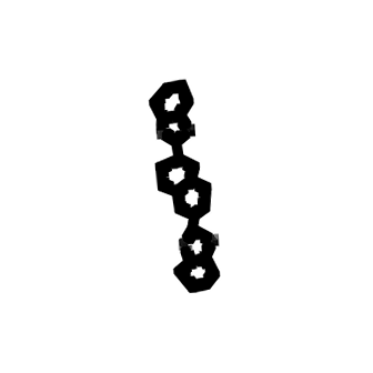 c1ccc2sc(-c3ccc4cc(-c5nc6ccccc6s5)ccc4c3)nc2c1